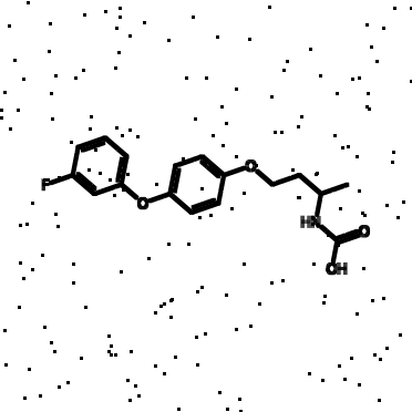 CC(CCOc1ccc(Oc2cccc(F)c2)cc1)NC(=O)O